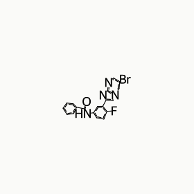 O=C(Nc1ccc(F)c(-c2cn3cc(Br)cnc3n2)c1)c1ccccc1